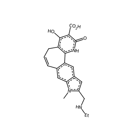 CCNCc1cc2cc3c(cc2n1C)C=CCc1c-3[nH]c(=O)c(C(=O)O)c1O